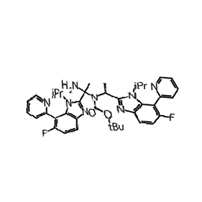 CC(C)n1c([C@H](C)N(C(=O)OC(C)(C)C)C(C)(N)c2nc3ccc(F)c(-c4ccccn4)c3n2C(C)C)nc2ccc(F)c(-c3ccccn3)c21